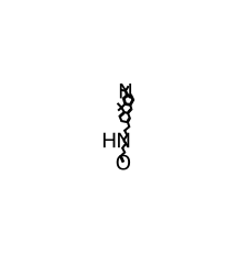 CN(C)c1ccc2c(c1)C(C)(C)C1=CCC(CCCNCCCC=O)=CC1=C2